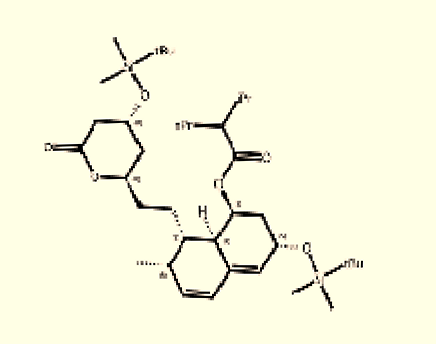 CCCC(C(=O)O[C@H]1C[C@H](O[Si](C)(C)C(C)(C)C)C=C2C=C[C@H](C)[C@H](CC[C@@H]3C[C@@H](O[Si](C)(C)C(C)(C)C)CC(=O)O3)[C@H]21)C(C)C